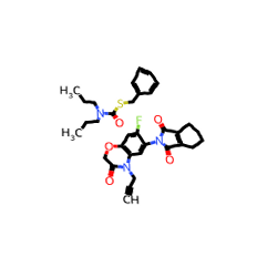 C#CCN1C(=O)COc2cc(F)c(N3C(=O)C4=C(CCCC4)C3=O)cc21.CCCN(CCC)C(=O)SCc1ccccc1